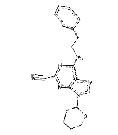 N#Cc1nc(NCCc2ccccc2)c2ncn(C3CCCCO3)c2n1